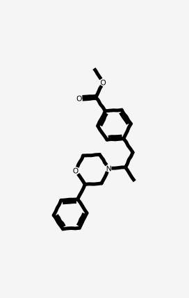 COC(=O)c1ccc(CC(C)N2CCOC(c3ccccc3)C2)cc1